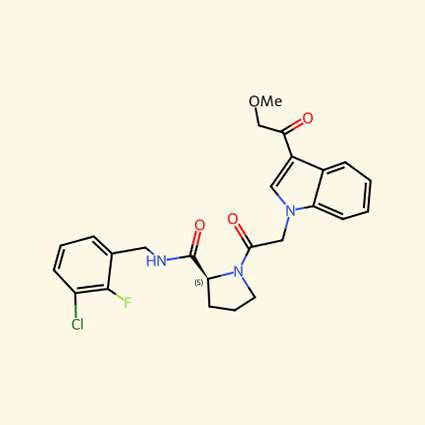 COCC(=O)c1cn(CC(=O)N2CCC[C@H]2C(=O)NCc2cccc(Cl)c2F)c2ccccc12